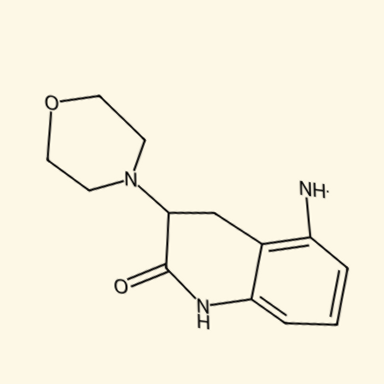 [NH]c1cccc2c1CC(N1CCOCC1)C(=O)N2